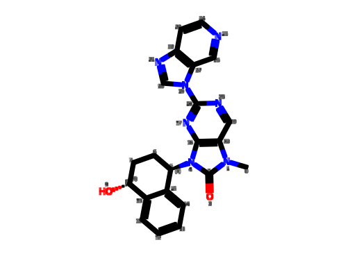 Cn1c(=O)n([C@@H]2CC[C@@H](O)c3ccccc32)c2nc(-n3cnc4ccncc43)ncc21